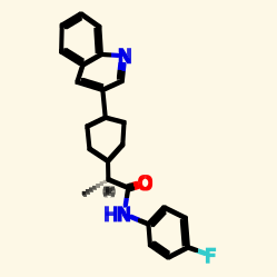 C[C@@H](C(=O)Nc1ccc(F)cc1)C1CCC(c2cnc3ccccc3c2)CC1